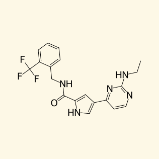 CCNc1nccc(-c2c[nH]c(C(=O)NCc3ccccc3C(F)(F)F)c2)n1